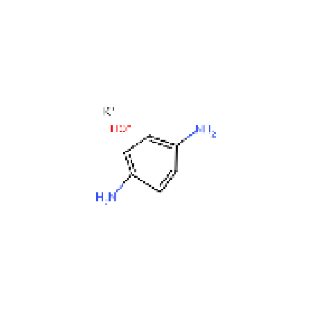 Nc1ccc(N)cc1.[K+].[OH-]